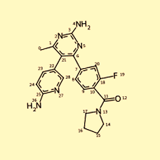 Cc1nc(N)nc(-c2ccc(C(=O)N3CCCC3)c(F)c2)c1-c1ccc(N)nc1